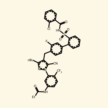 CCCCc1nn(-c2cc(NC(=O)CC)ccc2C(F)(F)F)c(C#N)c1Cc1ccc(-c2ccccc2S(=O)(=O)NC(=O)c2ccccc2Cl)cc1F